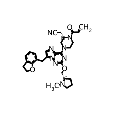 C=CC(=O)N1CCN(c2nc(OC[C@@H]3CCCN3C)nn3c(Cc4cccc5c4OCC5)cnc23)C[C@@H]1CC#N